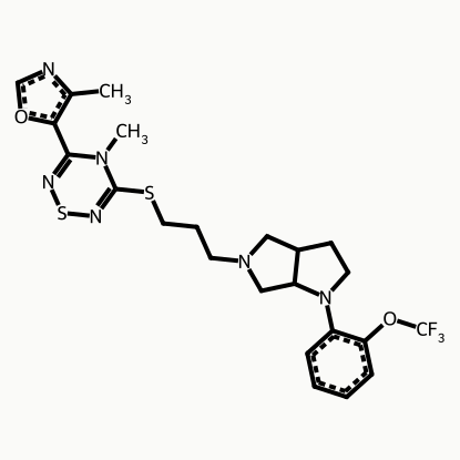 Cc1ncoc1C1=NSN=C(SCCCN2CC3CCN(c4ccccc4OC(F)(F)F)C3C2)N1C